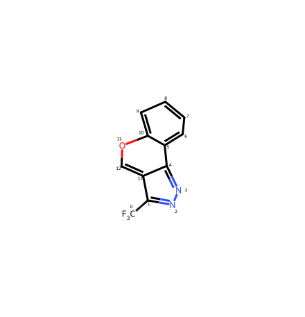 FC(F)(F)c1nnc2c3ccccc3occ1-2